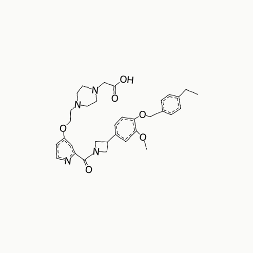 CCc1ccc(COc2ccc(C3CN(C(=O)c4cc(OCCN5CCN(CC(=O)O)CC5)ccn4)C3)cc2OC)cc1